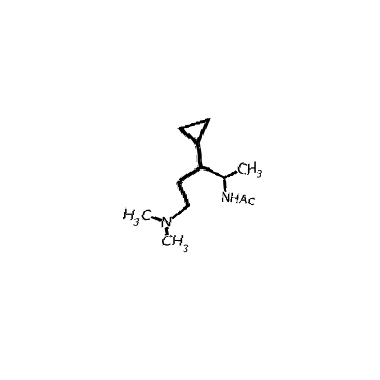 CC(=O)NC(C)C(CCN(C)C)C1CC1